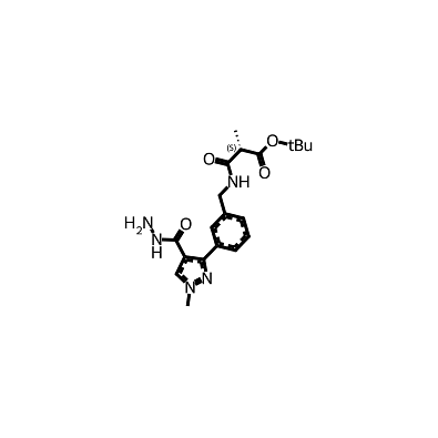 C[C@@H](C(=O)NCc1cccc(-c2nn(C)cc2C(=O)NN)c1)C(=O)OC(C)(C)C